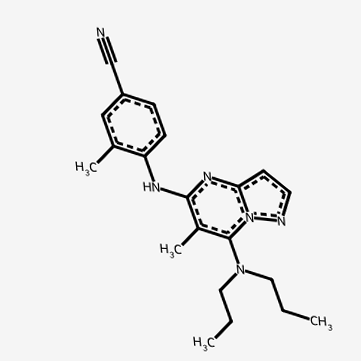 CCCN(CCC)c1c(C)c(Nc2ccc(C#N)cc2C)nc2ccnn12